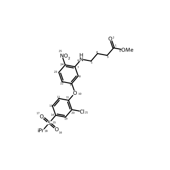 COC(=O)CCCNc1cc(Oc2ccc(S(=O)(=O)C(C)C)cc2Cl)ccc1[N+](=O)[O-]